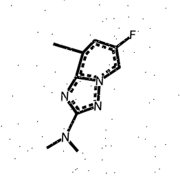 Cc1cc(F)cn2nc(N(C)C)nc12